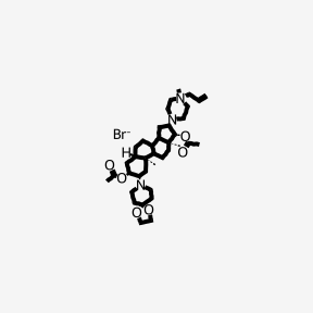 C=CC[N+]1(C)CCN([C@H]2CC3C4CC[C@H]5C[C@H](OC(C)=O)[C@@H](N6CCC7(CC6)OCCO7)C[C@]5(C)C4CC[C@]3(C)[C@H]2OC(C)=O)CC1.[Br-]